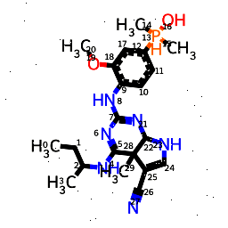 CCC(C)NC1=NC(Nc2ccc([PH](C)(C)O)cc2OC)=NC2NC=C(C#N)C12C